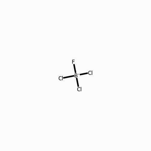 F[B-](Cl)(Cl)Cl